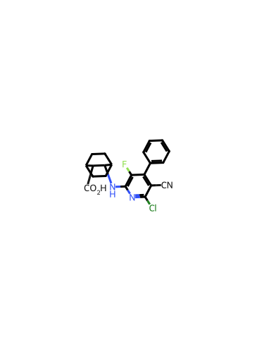 N#Cc1c(Cl)nc(NC2C3CCC(CC3)C2C(=O)O)c(F)c1-c1ccccc1